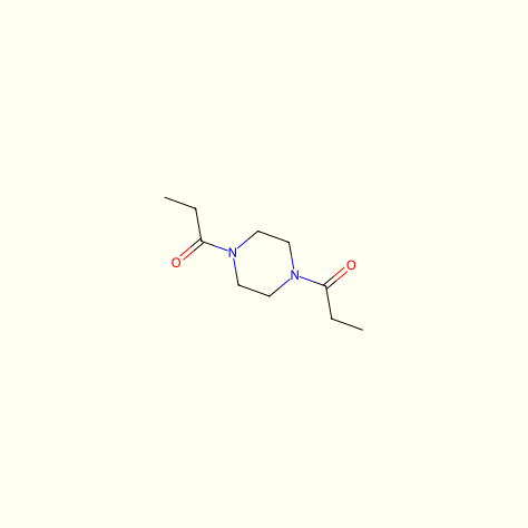 CCC(=O)N1CCN(C(=O)CC)CC1